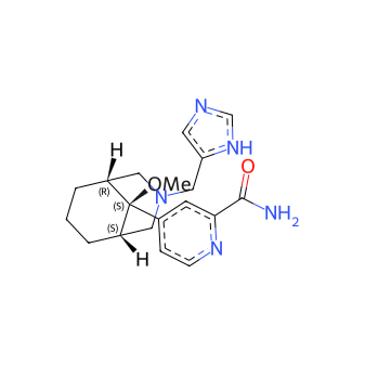 CO[C@]1(c2ccnc(C(N)=O)c2)[C@@H]2CCC[C@H]1CN(Cc1cnc[nH]1)C2